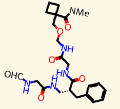 CNC(=O)C1(COCNC(=O)CNC(=O)[C@@H](CNC(=O)CNC=O)Cc2ccccc2)CCC1